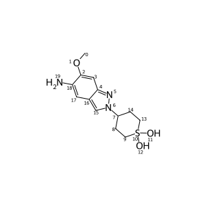 COc1cc2nn(C3CCS(O)(O)CC3)cc2cc1N